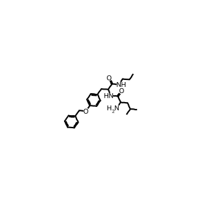 CCCNC(=O)C(Cc1ccc(OCc2ccccc2)cc1)NC(=O)C(N)CC(C)C